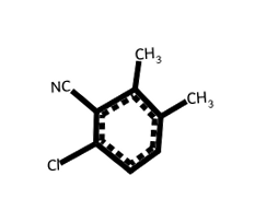 Cc1ccc(Cl)c(C#N)c1C